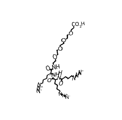 [N-]=[N+]=NCCCCC(NC(=O)CCCN=[N+]=[N-])C(=O)N[C@@H](CCCCN=[N+]=[N-])C(=O)NCCOCCOCCOCCOCCC(=O)O